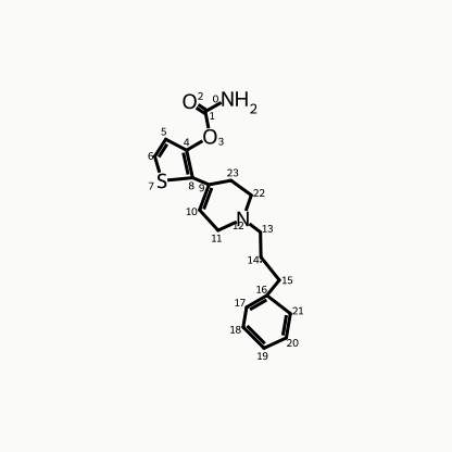 NC(=O)Oc1ccsc1C1=CCN(C[CH]Cc2ccccc2)CC1